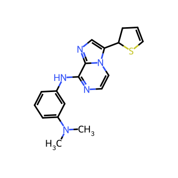 CN(C)c1cccc(Nc2nccn3c(C4CC=CS4)cnc23)c1